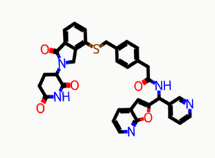 O=C1CCC(N2Cc3c(SCc4ccc(CC(=O)NC(c5cccnc5)c5cc6cccnc6o5)cc4)cccc3C2=O)C(=O)N1